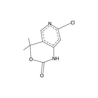 CC1(C)OC(=O)Nc2cc(Cl)ncc21